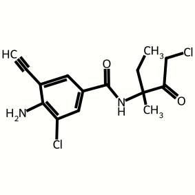 C#Cc1cc(C(=O)NC(C)(CC)C(=O)CCl)cc(Cl)c1N